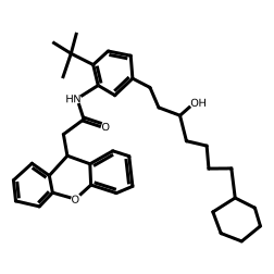 CC(C)(C)c1ccc(CCC(O)CCCCC2CCCCC2)cc1NC(=O)CC1c2ccccc2Oc2ccccc21